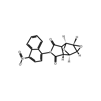 O=C1C2[C@@H](C(=O)N1c1ccc([N+](=O)[O-])c3ccccc13)[C@H]1O[C@@H]2[C@@H]2O[C@@H]21